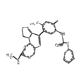 CNc1ncc2c(n1)N1CCN=C1C(c1cc(NC(=O)Oc3ccccc3)c(F)cc1C)=C2